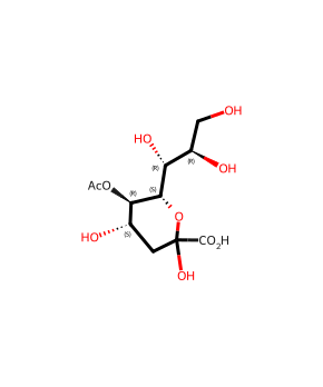 CC(=O)O[C@H]1[C@H]([C@H](O)[C@H](O)CO)OC(O)(C(=O)O)C[C@@H]1O